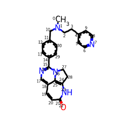 CN(CCc1ccncc1)Cc1ccc(C2=NC=C3C=CC(=O)NC4=C3N2CC4)cc1